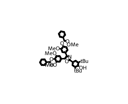 COc1cc(-c2nc(-c3cc(C(C)(C)C)c(O)c(C(C)(C)C)c3)oc2-c2cc(OC)c(OC(=O)c3ccccc3)c(OC)c2)cc(OC)c1OC(=O)c1ccccc1